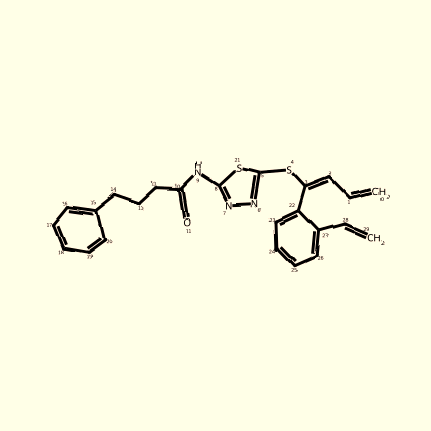 C=C/C=C(/Sc1nnc(NC(=O)CCCc2ccccc2)s1)c1ccccc1C=C